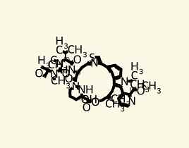 CCn1c(-c2cccnc2[C@H](C)OC)c2c3cc(ccc31)-c1csc(n1)C[C@H](NC(=O)[C@H](C(C)C)N(C)C(=O)N(C)C1(C)COC1)C(=O)N1CCC[C@@](O)(N1)C(=O)OCC(C)(C)C2